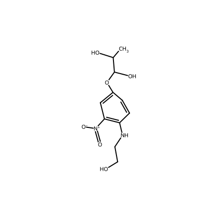 CC(O)C(O)Oc1ccc(NCCO)c([N+](=O)[O-])c1